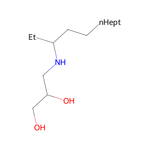 CCCCCCCCCC(CC)NCC(O)CO